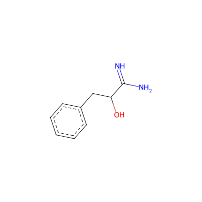 N=C(N)C(O)Cc1ccccc1